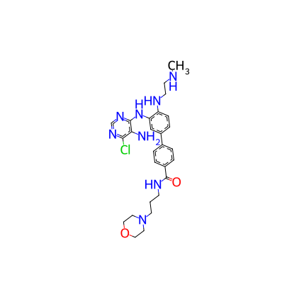 CNCCNc1ccc(-c2ccc(C(=O)NCCCN3CCOCC3)cc2)cc1Nc1ncnc(Cl)c1N